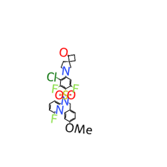 COc1ccc(CN(c2cccc(F)n2)S(=O)(=O)c2c(F)cc(N3CC[C@@]4(CCC4=O)C3)c(Cl)c2F)cc1